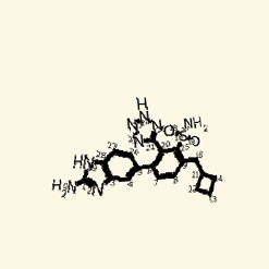 Nc1nc2cc(-c3ccc(CC4CCC4)c(S(N)(=O)=O)c3-c3nn[nH]n3)ccc2[nH]1